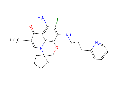 Nc1c(F)c(NCCCc2ccccn2)c2c3c1c(=O)c(C(=O)O)cn3C1(CCCC1)CO2